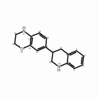 c1ccc2c(c1)CC(c1ccc3c(c1)OCCN3)CN2